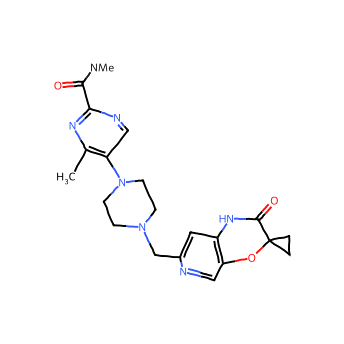 CNC(=O)c1ncc(N2CCN(Cc3cc4c(cn3)OC3(CC3)C(=O)N4)CC2)c(C)n1